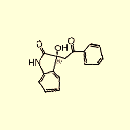 O=C(C[C@@]1(O)C(=O)Nc2ccccc21)c1ccccc1